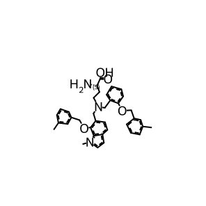 Cc1cccc(COc2ccccc2CN(CC[C@H](N)C(=O)O)Cc2ccc3ccn(C)c3c2OCc2cccc(C)c2)c1